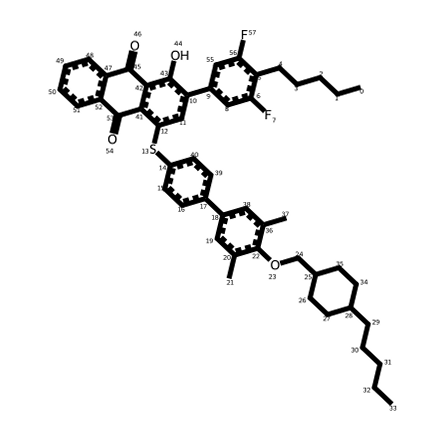 CCCCCc1c(F)cc(-c2cc(Sc3ccc(-c4cc(C)c(OCC5CCC(CCCCC)CC5)c(C)c4)cc3)c3c(c2O)C(=O)c2ccccc2C3=O)cc1F